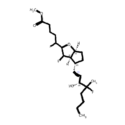 CCCCC(C)(F)[C@H](O)/C=C/[C@H]1CC[C@@H]2OC(C(I)CCCC(=O)OC)C(F)[C@@H]21